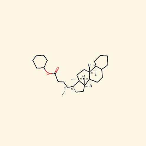 C[C@H](CCC(=O)OC1CCCCC1)[C@H]1CC[C@H]2[C@@H]3CCC4CCCC[C@]4(C)[C@H]3CC[C@]12C